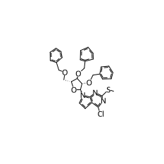 CSc1nc(Cl)c2ccn([C@H]3O[C@H](COCc4ccccc4)[C@@H](OCc4ccccc4)[C@@H]3OCc3ccccc3)c2n1